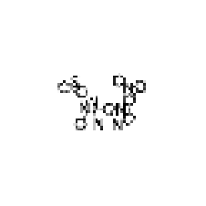 N#Cc1cc(-c2nc(-c3ccc4sc5ccccc5c4c3)nc(-c3ccccc3)c2C#N)ccc1-n1c2ccccc2c2cc3c4ccccc4n(-c4ccccc4)c3cc21